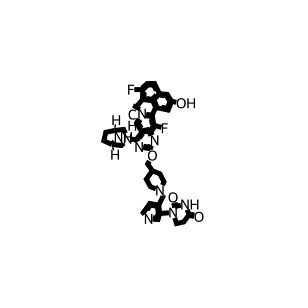 C#Cc1c(F)ccc2cc(O)cc(-c3ncc4c(N5C[C@H]6CC[C@@H](C5)N6)nc(OCC5CCN(Cc6ccncc6N6CCC(=O)NC6=O)CC5)nc4c3F)c12